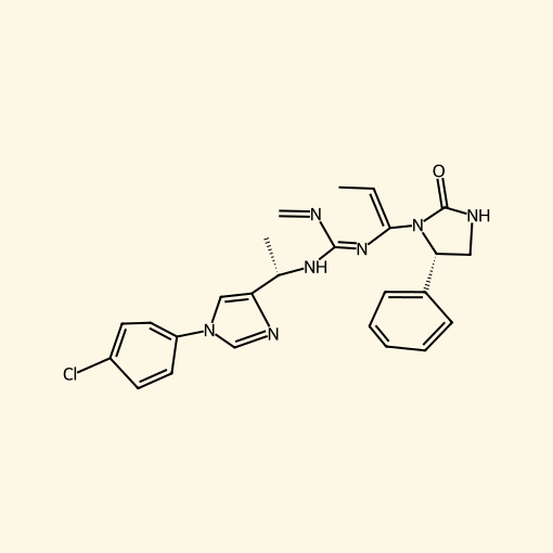 C=N/C(=N\C(=C/C)N1C(=O)NC[C@@H]1c1ccccc1)N[C@@H](C)c1cn(-c2ccc(Cl)cc2)cn1